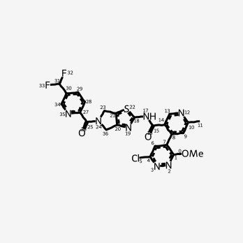 COc1nnc(Cl)cc1-c1cc(C)ncc1C(=O)Nc1nc2c(s1)CN(C(=O)c1ccc(C(F)F)cn1)C2